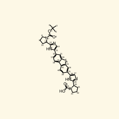 CC(C)(C)OC(=O)N1CCCC1c1ncc(-c2ccc3c(c2)sc2cc(-c4cnc(C5CCCN5C(=O)O)[nH]4)ccc23)[nH]1